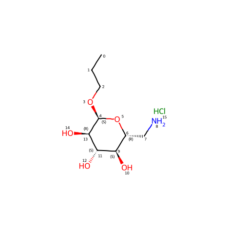 CCCO[C@H]1O[C@H](CN)[C@@H](O)[C@H](O)[C@H]1O.Cl